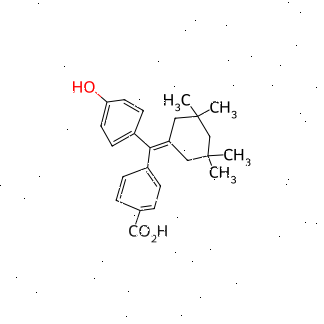 CC1(C)CC(=C(c2ccc(O)cc2)c2ccc(C(=O)O)cc2)CC(C)(C)C1